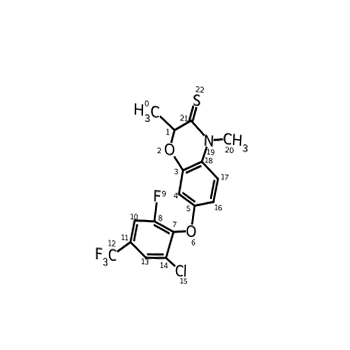 CC1Oc2cc(Oc3c(F)cc(C(F)(F)F)cc3Cl)ccc2N(C)C1=S